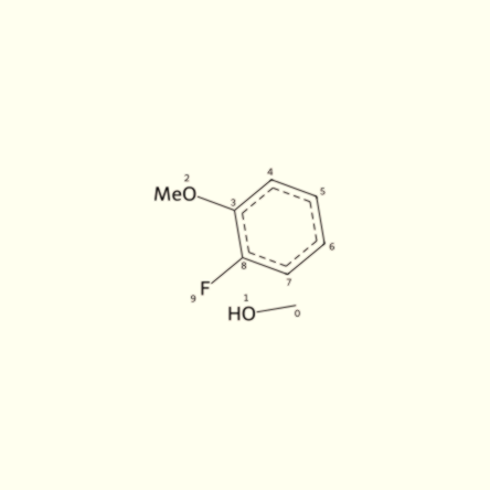 CO.COc1ccccc1F